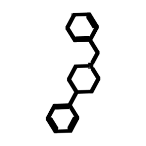 [CH]1C=CC(CN2CCC(c3ccccc3)CC2)=CC1